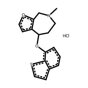 CN1CCC(Oc2cccc3ccsc23)c2ccoc2C1.Cl